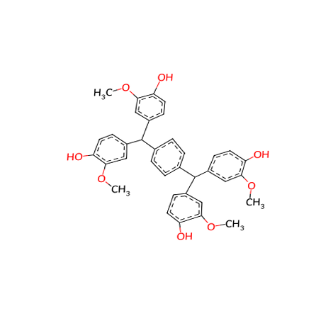 COc1cc(C(c2ccc(C(c3ccc(O)c(OC)c3)c3ccc(O)c(OC)c3)cc2)c2ccc(O)c(OC)c2)ccc1O